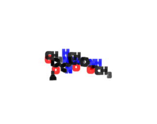 CCC(=O)N[C@H]1CC[C@@H](NC(=O)c2c(C)[nH]c3c(-c4ccc(OC)cc4OCC4CC4)ccnc23)CC1